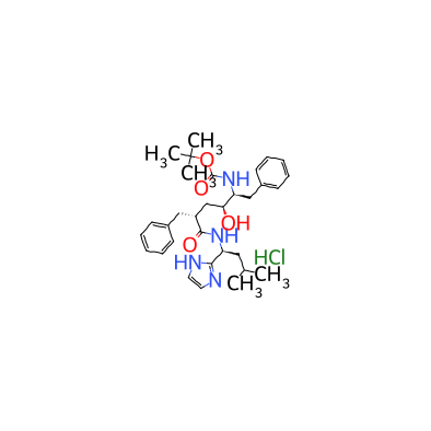 CC(C)C[C@H](NC(=O)[C@H](Cc1ccccc1)C[C@H](O)[C@H](Cc1ccccc1)NC(=O)OC(C)(C)C)c1ncc[nH]1.Cl